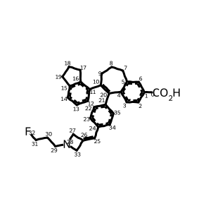 O=C(O)c1ccc2c(c1)CCCC(c1cccc3c1CCC3)=C2c1ccc(C=C2CN(CCCF)C2)cc1